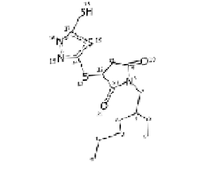 CCCCC(CC)CN1C(=O)CC(Sc2nnc(S)s2)C1=O